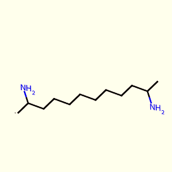 [CH2]C(N)CCCCCCCCC(C)N